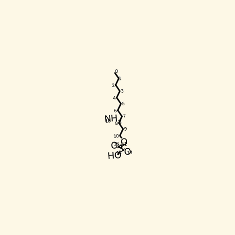 CCCCCCCCCCCOS(=O)(=O)O.N